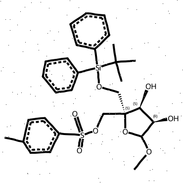 COC1O[C@@](CO[Si](c2ccccc2)(c2ccccc2)C(C)(C)C)(COS(=O)(=O)c2ccc(C)cc2)[C@@H](O)[C@H]1O